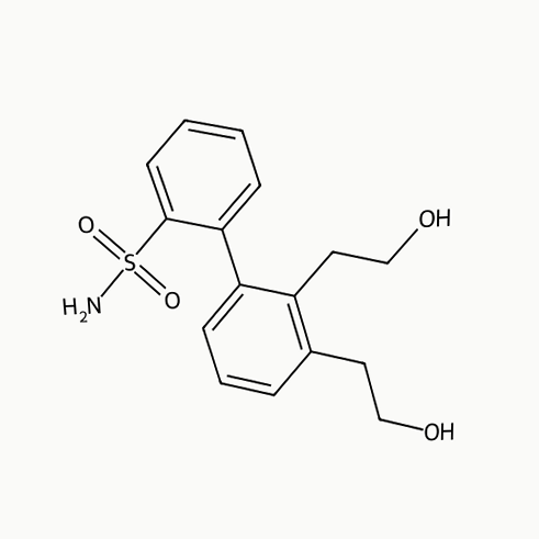 NS(=O)(=O)c1ccccc1-c1cccc(CCO)c1CCO